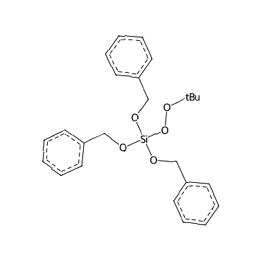 CC(C)(C)OO[Si](OCc1ccccc1)(OCc1ccccc1)OCc1ccccc1